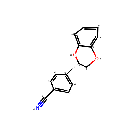 N#Cc1ccc([C@H]2COc3ccccc3O2)cc1